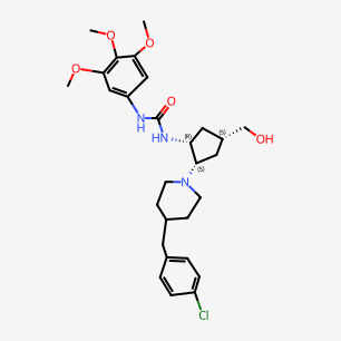 COc1cc(NC(=O)N[C@@H]2C[C@H](CO)C[C@@H]2N2CCC(Cc3ccc(Cl)cc3)CC2)cc(OC)c1OC